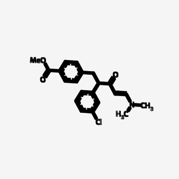 COC(=O)c1ccc(CC(C(=O)C=CN(C)C)c2cccc(Cl)c2)cc1